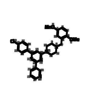 COc1ccc(OC)c(CN2CCN(c3cc(-c4ccc(Cl)cc4)nc(-c4cccnc4)n3)CC2)c1